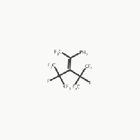 FC(F)(F)C(P)=C(C(F)(C(F)(F)F)C(F)(F)F)C(F)(C(F)(F)F)C(F)(F)F